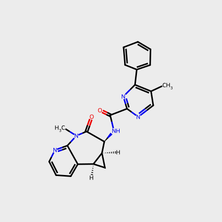 Cc1cnc(C(=O)N[C@@H]2C(=O)N(C)c3ncccc3[C@@H]3C[C@H]23)nc1-c1ccccc1